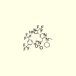 CCN(c1ncc(-c2c[nH]nc2C(F)(F)F)cc1CN1C(=O)O[C@H](c2cc(C(F)(F)F)cc(C(F)(F)F)c2)[C@@H]1C)C1CCCCC1